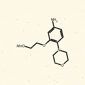 COCCOc1cc(N)ccc1N1CCOCC1